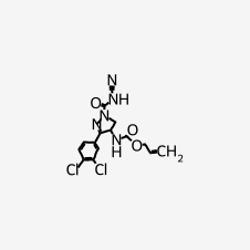 C=CCOC(=O)NC1CN(C(=O)NC#N)N=C1c1ccc(Cl)c(Cl)c1